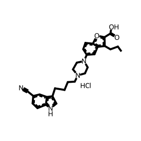 CCCc1c(C(=O)O)oc2ccc(N3CCN(CCCCc4c[nH]c5ccc(C#N)cc45)CC3)cc12.Cl